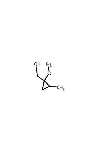 CCOC1(CO)CC1C